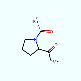 CC[C@@H](C)C(=O)N1CCCC1C(=O)OC